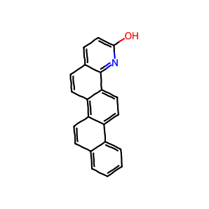 Oc1ccc2ccc3c4ccc5ccccc5c4ccc3c2n1